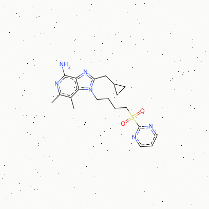 Cc1nc(N)c2nc(CC3CC3)n(CCCCS(=O)(=O)c3ncccn3)c2c1C